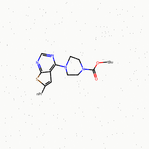 CCCc1cc2c(N3CCN(C(=O)OC(C)(C)C)CC3)ncnc2s1